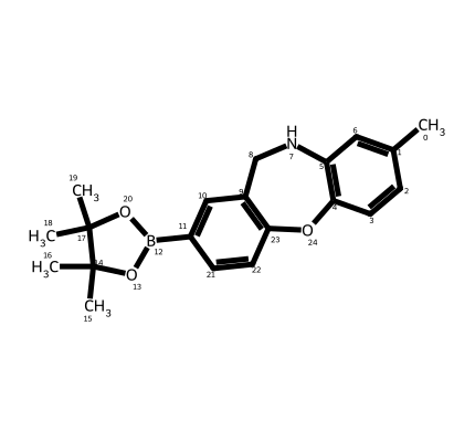 Cc1ccc2c(c1)NCc1cc(B3OC(C)(C)C(C)(C)O3)ccc1O2